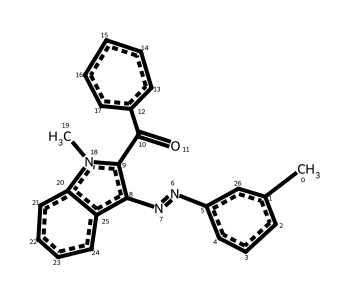 Cc1cccc(/N=N/c2c(C(=O)c3ccccc3)n(C)c3ccccc23)c1